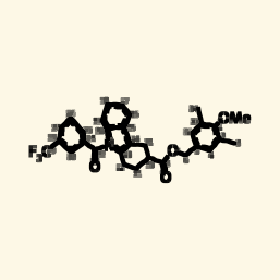 COc1c(C)cc(COC(=O)C2CCc3c(c4ccccc4n3C(=O)c3cccc(C(F)(F)F)c3)C2)cc1C